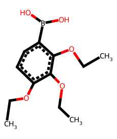 CCOc1ccc(B(O)O)c(OCC)c1OCC